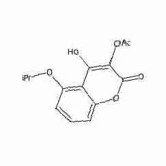 CC(=O)Oc1c(O)c2c(OC(C)C)cccc2oc1=O